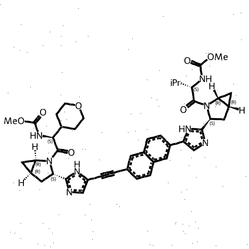 COC(=O)N[C@H](C(=O)N1[C@@H]2C[C@@H]2C[C@H]1c1ncc(-c2ccc3cc(C#Cc4cnc([C@@H]5C[C@H]6C[C@H]6N5C(=O)[C@@H](NC(=O)OC)C5CCOCC5)[nH]4)ccc3c2)[nH]1)C(C)C